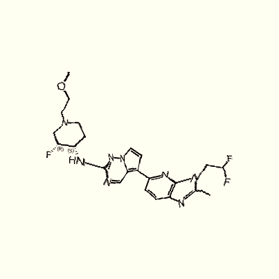 COCCN1CC[C@H](Nc2ncc3c(-c4ccc5nc(C)n(CC(F)F)c5n4)ccn3n2)[C@H](F)C1